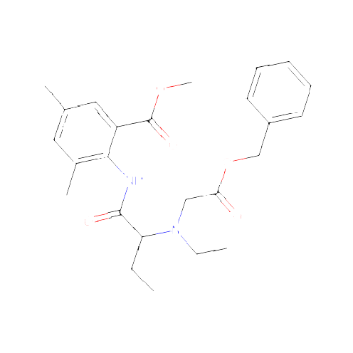 CCC(C(=O)Nc1c(C)cc(C)cc1C(=O)OC)N(CC)CC(=O)OCc1ccccc1